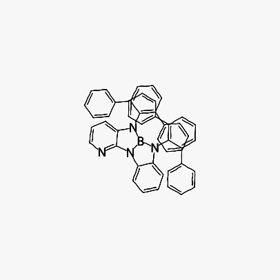 c1ccc(-c2cccc(-c3ccccc3)c2N2B3N(c4ccccc42)c2ncccc2N3c2c(-c3ccccc3)cccc2-c2ccccc2)cc1